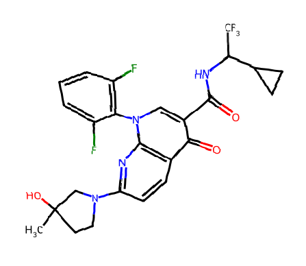 CC1(O)CCN(c2ccc3c(=O)c(C(=O)NC(C4CC4)C(F)(F)F)cn(-c4c(F)cccc4F)c3n2)C1